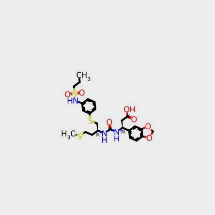 CCCS(=O)(=O)Nc1cccc(SC[C@H](CCSC)NC(=O)N[C@@H](CC(=O)O)c2ccc3c(c2)OCO3)c1